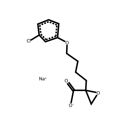 O=C([O-])C1(CCCCOc2cccc(Cl)c2)CO1.[Na+]